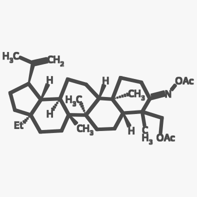 C=C(C)[C@@H]1CC[C@]2(CC)CC[C@]3(C)[C@H](CC[C@@H]4[C@@]5(C)CCC(=NOC(C)=O)C(C)(COC(C)=O)[C@@H]5CC[C@]43C)[C@@H]12